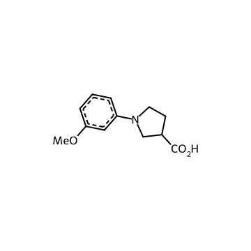 COc1cccc(N2CCC(C(=O)O)C2)c1